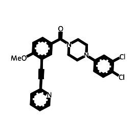 COc1ccc(C(=O)N2CCN(c3ccc(Cl)c(Cl)c3)CC2)cc1C#Cc1ccccn1